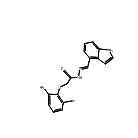 CC(C)c1cccc(C(C)C)c1OCC(=O)NN=Cc1cccc2[nH]ccc12